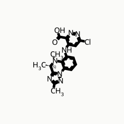 Cc1nc2n(n1)-c1cccc(Nc3cc(Cl)nnc3C(=O)O)c1N(C)[C@H]2C